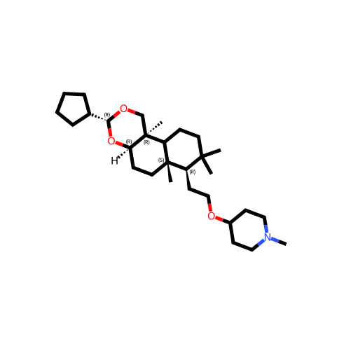 CN1CCC(OCC[C@@H]2C(C)(C)CCC3[C@]4(C)CO[C@@H](C5CCCC5)O[C@@H]4CC[C@]32C)CC1